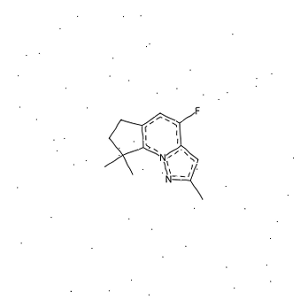 Cc1cc2c(F)cc3c(n2n1)C(C)(C)CC3